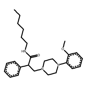 CCCCCCNC(=O)C(CN1CCN(c2ccccc2OC)CC1)c1ccccc1